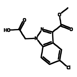 COC(=O)c1nn(CC(=O)O)c2ccc(Cl)cc12